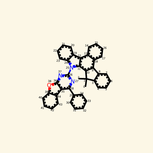 CC1(C)c2ccccc2-c2c1c1c(c3ccccc23)c2ccccc2n1-c1nc(-c2ccccc2)c2c(n1)oc1ccccc12